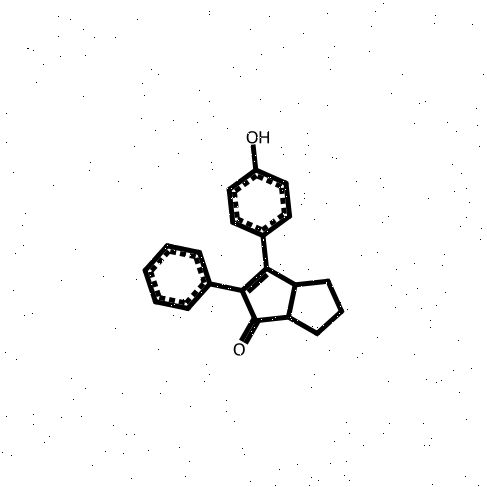 O=C1C(c2ccccc2)=C(c2ccc(O)cc2)C2CCCC12